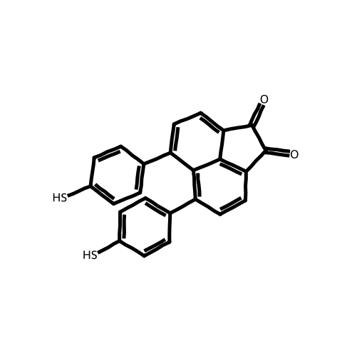 O=C1C(=O)c2ccc(-c3ccc(S)cc3)c3c(-c4ccc(S)cc4)ccc1c23